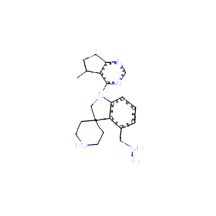 CC(C)NCc1cccc2c1C1(CCNCC1)C[N@@+]2(C)c1ncnc2c1C(C)CC2